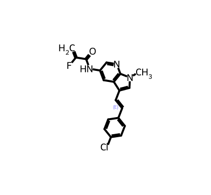 C=C(F)C(=O)Nc1cnc2c(c1)c(/C=C/c1ccc(Cl)cc1)cn2C